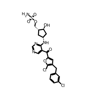 NS(=O)(=O)OC[C@H]1C[C@@H](Nc2ncncc2C(=O)c2cc(Cc3cccc(Cl)c3)c(Cl)o2)C[C@@H]1O